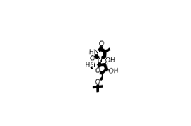 Cc1cn([C@]2([SiH](C)C)O[C@H](COC(C)(C)C)[C@@H](O)[C@H]2O)c(=O)[nH]c1=O